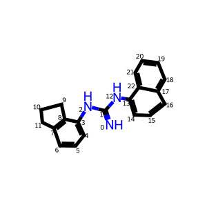 N=C(Nc1cccc2c1CCC2)Nc1cccc2ccccc12